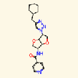 O=C(NC1COC2C1OCC2n1cc(CC2CCCCC2)nn1)c1ccncc1